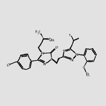 CCOc1ccccc1-n1nc(Cn2nc(-c3ccc(Cl)cc3)n(C[C@H](O)C(F)(F)F)c2=O)nc1C(C)F